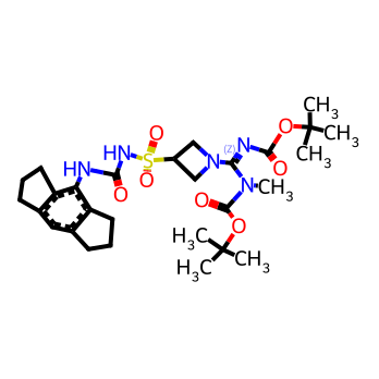 CN(C(=O)OC(C)(C)C)/C(=N\C(=O)OC(C)(C)C)N1CC(S(=O)(=O)NC(=O)Nc2c3c(cc4c2CCC4)CCC3)C1